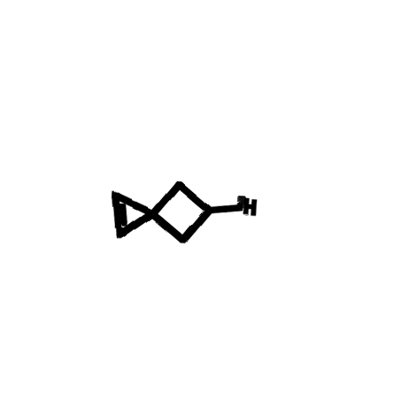 [2H]C1CC2(C=C2)C1